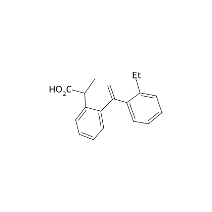 C=C(c1ccccc1CC)c1ccccc1C(C)C(=O)O